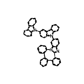 c1ccc2c(c1)-c1ccccc1-c1nc3ccc(-n4c5ccccc5c5cc(-n6c7ccccc7c7ccccc76)ccc54)cc3n1-c1ccccc1-2